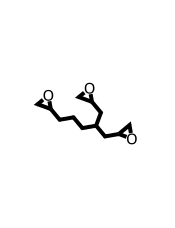 C(CC(CC1CO1)CC1CO1)CC1CO1